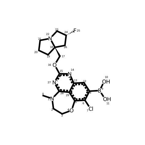 CN1CCOc2c(Cl)c(B(O)O)cc3nc(OC[C@@]45CCCN4C[C@H](F)C5)nc1c23